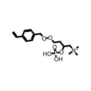 C=Cc1ccc(COOCCC(C[N+](C)(C)C)OP(=O)(O)O)cc1